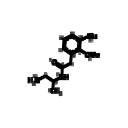 COc1c(CC(=O)NC(C)CN)cccc1C(C)(C)C